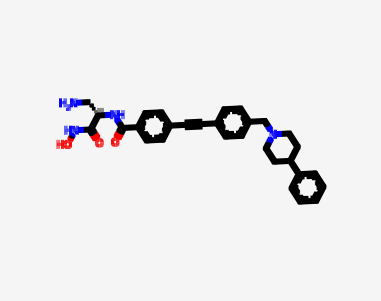 NC[C@H](NC(=O)c1ccc(C#Cc2ccc(CN3CCC(c4ccccc4)CC3)cc2)cc1)C(=O)NO